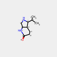 CC(C)C1NCC2NC(=O)CCC21